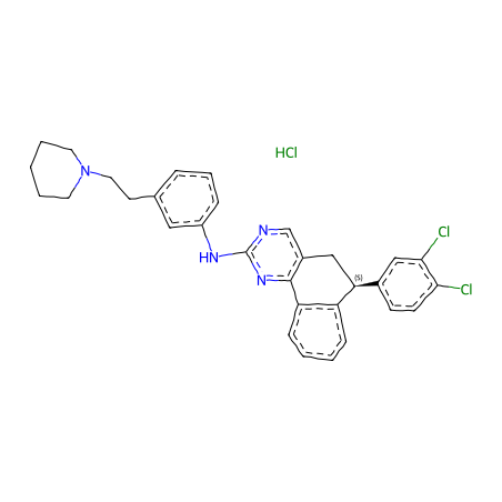 Cl.Clc1ccc([C@@H]2Cc3cnc(Nc4cccc(CCN5CCCCC5)c4)nc3-c3ccccc32)cc1Cl